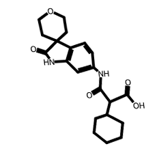 O=C(O)C(C(=O)Nc1ccc2c(c1)NC(=O)C21CCOCC1)C1CCCCC1